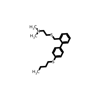 CCCCSc1ccc(-c2ccccc2CSCCN(C)C)cc1